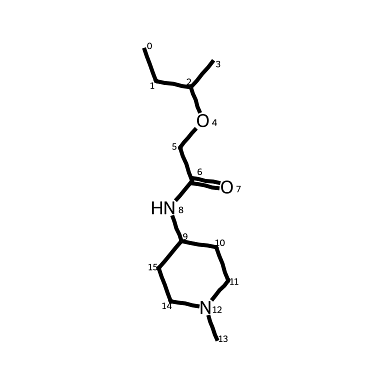 CCC(C)OCC(=O)NC1CCN(C)CC1